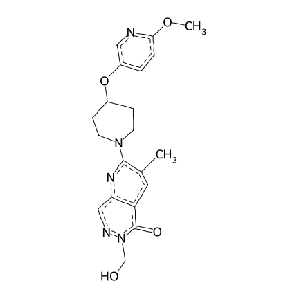 COc1ccc(OC2CCN(c3nc4cnn(CO)c(=O)c4cc3C)CC2)cn1